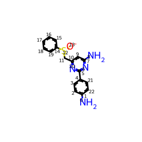 Nc1ccc(-c2nc(N)cc(C[S+]([O-])c3ccccc3)n2)cc1